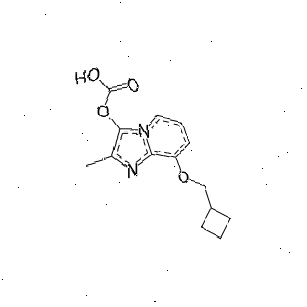 Cc1nc2c(OCC3CCC3)cccn2c1OC(=O)O